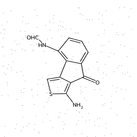 Nc1scc2c1C(=O)c1cccc(NC=O)c1-2